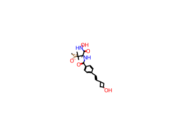 C[S+]([O-])C(C)(C)[C@H](NC(=O)c1ccc(C#CC2CC(O)C2)cc1)C(=O)NO